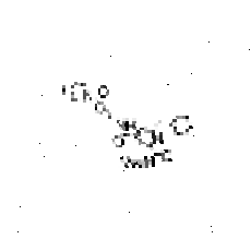 CNC(=O)c1cc(C(=O)NCCOC(=O)N2CCOCC2)cc(Cc2ccccc2)n1